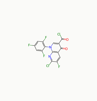 O=C(Cl)c1cn(-c2c(F)cc(F)cc2F)c2nc(Cl)c(F)cc2c1=O